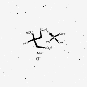 O=C(O)CC(O)(CC(=O)O)C(=O)O.O=P(O)(O)O.[Cl-].[Na+]